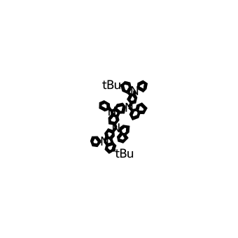 CC(C)(C)c1ccc2c(c1)c1cc(N(c3ccc4c(c3)c3cc(N(c5ccc6c(c5)c5cc(C(C)(C)C)ccc5n6-c5ccccc5)c5cccc6ccccc56)ccc3n4-c3ccccc3)c3cccc4ccccc34)ccc1n2-c1ccccc1